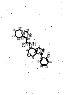 O=C(N[C@H]1COCc2c1cnn2-c1ccccc1F)c1ncn2c1CCCC2